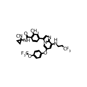 Cc1cc(-c2cnc3c(NCCC(F)(F)F)cc(Oc4ccc(OC(F)(F)F)cc4)cn23)ccc1C(=O)NC1(C#N)CC1